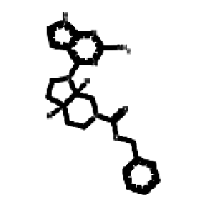 Nc1nc(N2CC[C@H]3CCN(C(=O)OCc4ccccc4)C[C@H]32)c2cc[nH]c2n1